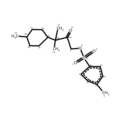 Cc1ccc(S(=O)(=O)OCC(=O)C(C)(C)C2CCC(C)CC2)cc1